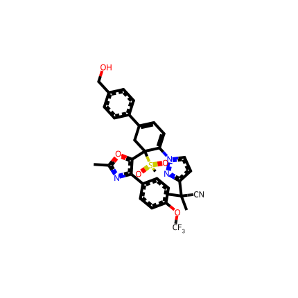 Cc1nc(-c2ccc(OC(F)(F)F)cc2)c(C2(S(C)(=O)=O)CC(c3ccc(CO)cc3)=CC=C2n2ccc(C(C)(C)C#N)n2)o1